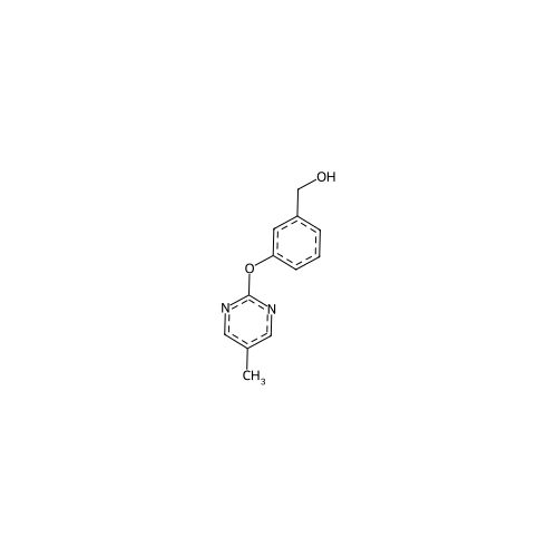 Cc1cnc(Oc2cccc(CO)c2)nc1